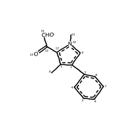 Cc1c(-c2ccccc2)cn(C)c1C(=O)[C]=O